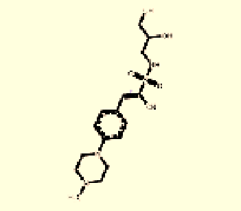 CN1CCN(c2ccc(/C=C(\C#N)S(=O)(=O)NCC(O)CO)cc2)CC1